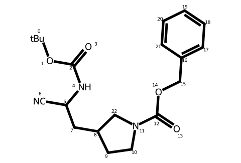 CC(C)(C)OC(=O)NC(C#N)CC1CCN(C(=O)OCc2ccccc2)C1